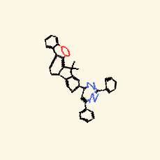 CC1(C)c2cc(-c3cc(-c4ccccc4)nc(-c4ccccc4)n3)ccc2-c2ccc3c(oc4ccccc43)c21